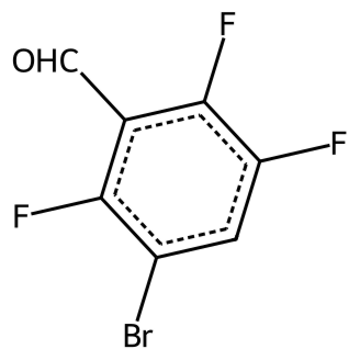 O=Cc1c(F)c(F)cc(Br)c1F